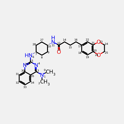 CN(C)c1nc(N[C@H]2CC[C@@H](NC(=O)CCCc3ccc4c(c3)OCCO4)CC2)nc2ccccc12